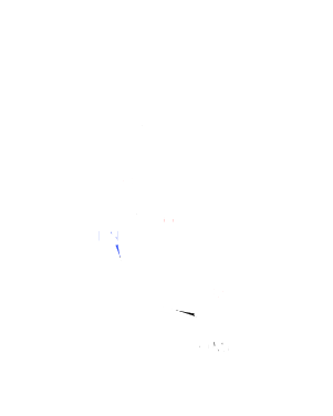 COC(=O)[C@H]1CCC[C@@H](NC(=O)OCc2ccccc2)C1